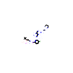 CN(CCN1CCCC1)c1ncc2ncnc(Nc3cc(C(=O)NC(=N)/C=C(\O)C(C)(C)C)ccc3F)c2n1